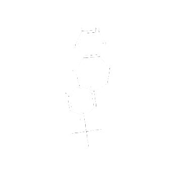 CC(C)(C)c1cnc2c(c1)CCc1cnccc1O2